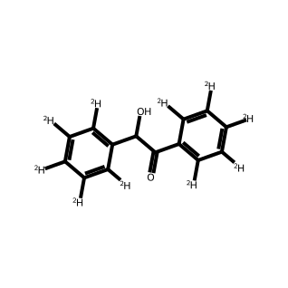 [2H]c1c([2H])c([2H])c(C(=O)C(O)c2c([2H])c([2H])c([2H])c([2H])c2[2H])c([2H])c1[2H]